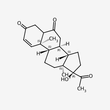 CC(=O)[C@@]1(O)CC[C@H]2[C@@H]3CC(=O)C4CC(=O)C=C[C@]4(C)[C@H]3CC[C@@]21C